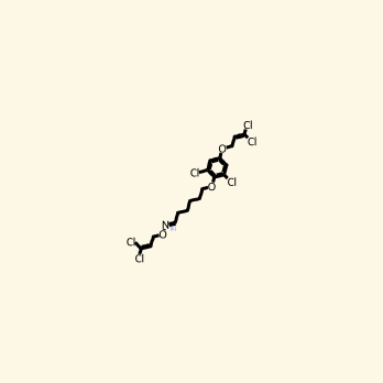 ClC(Cl)=CCO/N=C/CCCCCOc1c(Cl)cc(OCC=C(Cl)Cl)cc1Cl